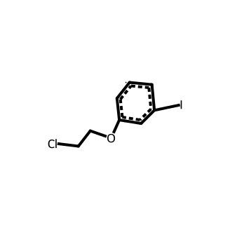 ClCCOc1c[c]cc(I)c1